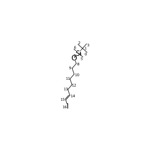 CC(C)(C)[Si](C)(C)OCCCCCCC=CI